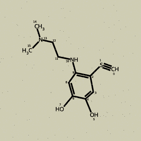 C#Sc1cc(O)c(O)cc1NCCN(C)C